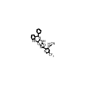 N#CCNc1cc(C(F)(F)F)cnc1-c1nnc(N[C@H]2N=C(c3ccccc3)c3ccccc3NC2=O)o1